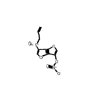 C=CC[S@@+]([O-])c1coc2c(O[N+](=O)[O-])coc12